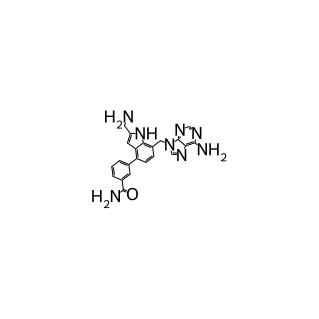 NCc1cc2c(-c3cccc(C(N)=O)c3)ccc(Cn3cnc4c(N)ncnc43)c2[nH]1